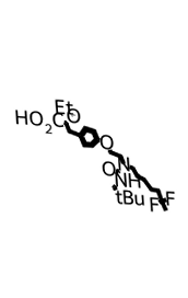 CCOC(Cc1ccc(OCCN(CCCCCC(C)(F)F)C(=O)NCC(C)(C)C)cc1)C(=O)O